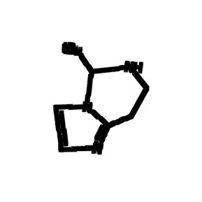 CC(C)(C)C1NCCc2nccn21